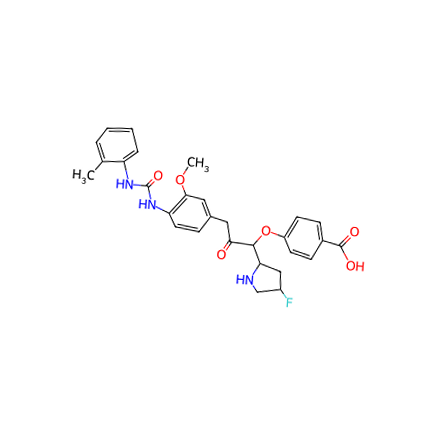 COc1cc(CC(=O)C(Oc2ccc(C(=O)O)cc2)C2CC(F)CN2)ccc1NC(=O)Nc1ccccc1C